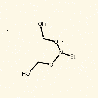 CCN(OCO)OCO